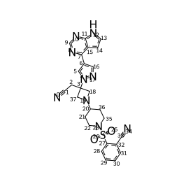 N#CCC1(n2cc(-c3ncnc4[nH]ccc34)cn2)CN(C2CCN(S(=O)(=O)c3ccccc3C#N)CC2)C1